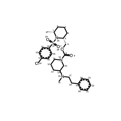 C[C@@H]1CCC[C@H](COC(=O)N2CCCC(N(C)CCc3ccccc3)C2)N1S(=O)(=O)c1ccc(Cl)cc1